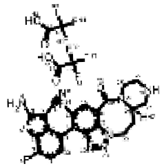 N#Cc1c(N)sc2c(F)ccc(-c3c(F)cc4c5c3nnn5CC[C@H]3CNCCN3C4=O)c12.O=C(O)C(F)(F)F.O=C(O)C(F)(F)F